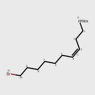 CCCCCCCC/C=C\CCCCCCBr